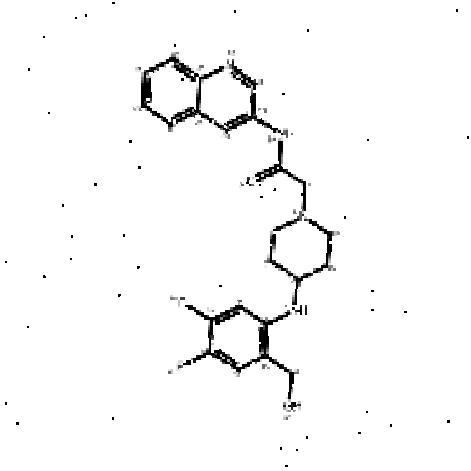 O=C(CN1CCC(Nc2cc(F)c(F)cc2CO)CC1)Nc1cnc2ccccc2c1